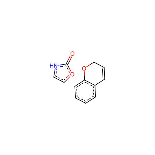 C1=Cc2ccccc2OC1.O=c1[nH]cco1